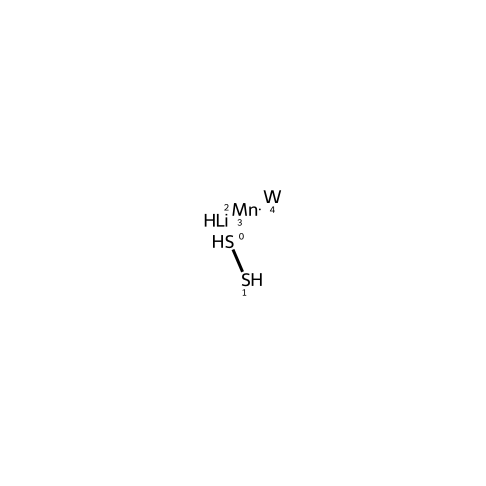 SS.[LiH].[Mn].[W]